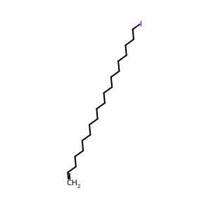 C=CCCCCCCCCCCCCCCCCCCI